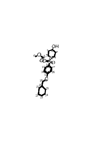 COC(=O)[C@@H]1C[C@@H](O)CCN1S(=O)(=O)c1ccc(OCC2CCCCC2)cc1